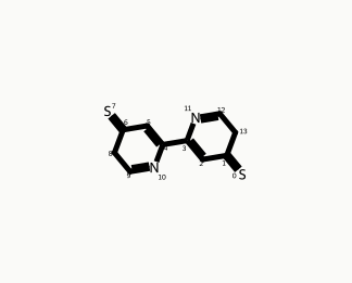 S=C1C=C(C2=CC(=S)CC=N2)N=CC1